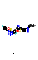 COC[C@H](C)NCc1cccc(-c2cc3nccc(Oc4ccc(NC(=S)NC(=O)Cc5ccc(F)cc5)cc4F)c3s2)c1